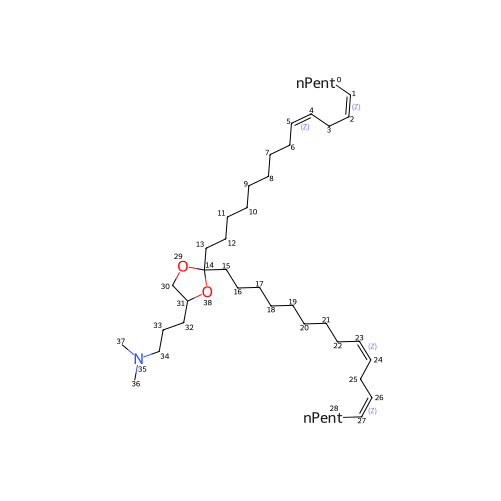 CCCCC/C=C\C/C=C\CCCCCCCCC1(CCCCCCCC/C=C\C/C=C\CCCCC)OCC(CCCN(C)C)O1